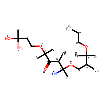 BC(C)(O)CCOC(C)(C)C(=O)C(C(F)(F)F)C(C)(N)OCC(C(F)(F)F)C(C)(CC)OCCC(F)(F)F